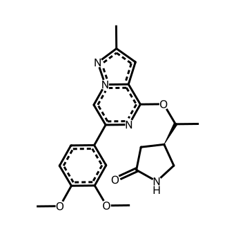 COc1ccc(-c2cn3nc(C)cc3c(OC(C)[C@H]3CNC(=O)C3)n2)cc1OC